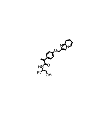 C=C(C(=O)NC(CC)CO)c1ccc(OCc2cn3ccccc3n2)cc1